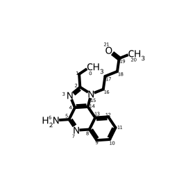 CCc1nc2c(N)nc3ccccc3c2n1CCCC(C)=O